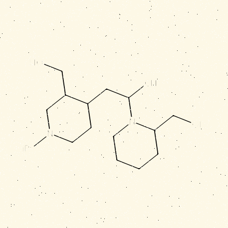 CC(C)N1CCC(CC(C)N2CCCCC2CO)C(CO)C1